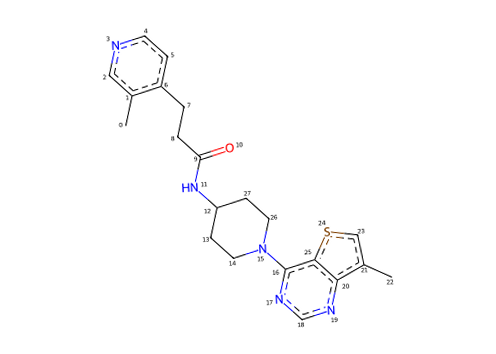 Cc1cnccc1CCC(=O)NC1CCN(c2ncnc3c(C)csc23)CC1